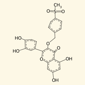 CS(=O)(=O)c1ccc(COc2c(-c3ccc(O)c(O)c3)oc3cc(O)cc(O)c3c2=O)cc1